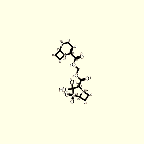 CC1(C)C(C(=O)OCOC(=O)C2=CCSC3CCN23)N2CCC2S1(=O)=O